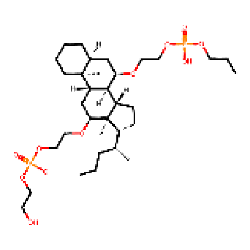 CCCOP(=O)(O)OCCO[C@@H]1C[C@@H]2CCCC[C@]2(C)[C@H]2C[C@H](OCCOP(=O)(O)OCCO)[C@]3(C)[C@@H]([C@H](C)CCC)CC[C@H]3[C@H]12